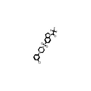 O=C(N1CCc2cc(S(=O)(=O)N3CCN(c4cccc(Cl)c4)CC3)ccc21)C(F)(F)F